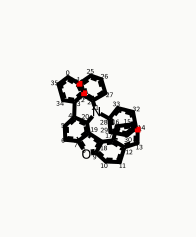 c1ccc(-c2ccc3oc4ccc5ccccc5c4c3c2N(c2ccccc2)c2ccccc2)cc1